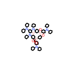 c1ccc(N(c2ccccc2)c2cc3c4c(c2)Oc2cc5c(cc2B4c2ccccc2O3)B2c3cc4c(cc3N(c3ccccc3)c3cc(N(c6ccccc6)c6ccccc6)cc(c32)N5c2ccccc2)Oc2cc(N(c3ccccc3)c3ccccc3)cc3c2B4c2ccccc2O3)cc1